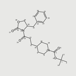 CC(C)(C)OC(=O)N1CCC(CCC(=O)N2C(=O)OCC2Cc2ccccc2)CC1